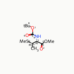 COC(=O)[C@@H](NC(=O)OC(C)(C)C)[C@@H](C)SC